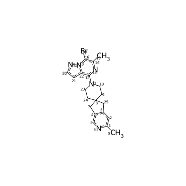 Cc1cc2c(cn1)CC1(CCN(c3nc(C)c(Br)n4nccc34)CC1)C2